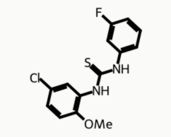 COc1ccc(Cl)cc1NC(=S)Nc1cccc(F)c1